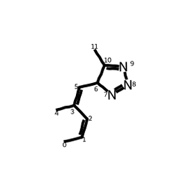 C/C=C\C(C)=C/C1N=NN=C1C